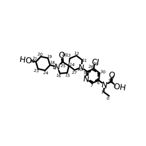 CCN(C(=O)O)c1cnc(N2CCC[C@]3(CCN(C4CCC(O)CC4)C3=O)C2)c(Cl)c1